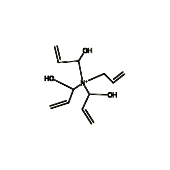 C=CC[N+](C(O)C=C)(C(O)C=C)C(O)C=C